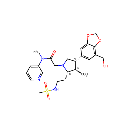 CCCCN(C(=O)CN1C[C@H](c2cc(CO)c3c(c2)OCO3)[C@@H](C(=O)O)[C@@H]1CCNS(C)(=O)=O)c1cccnc1